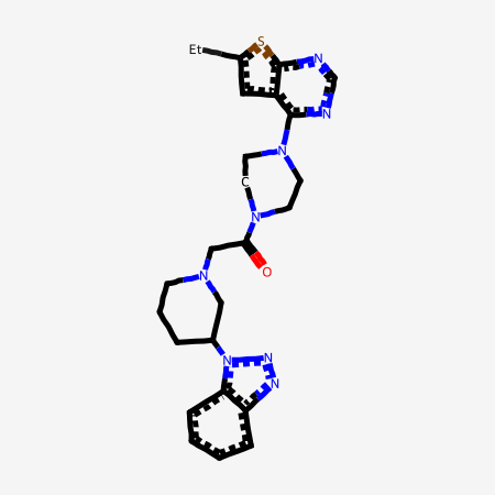 CCc1cc2c(N3CCN(C(=O)CN4CCCC(n5nnc6ccccc65)C4)CC3)ncnc2s1